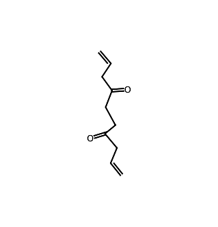 C=CCC(=O)CCC(=O)CC=C